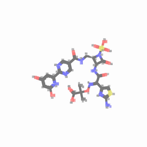 CC(C)(ON=C(C(=O)N[C@@H]1C(=O)N(S(=O)(=O)O)[C@H]1CNC(=O)c1cnc(-c2cc(=O)cc(O)[nH]2)nc1)c1csc(N)n1)C(=O)O